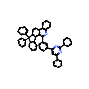 c1ccc(-c2cc(-c3cccc(-c4nc5ccccc5c5ccc6c(c45)-c4ccccc4C6(c4ccccc4)c4ccccc4)c3)nc(-c3ccccc3)n2)cc1